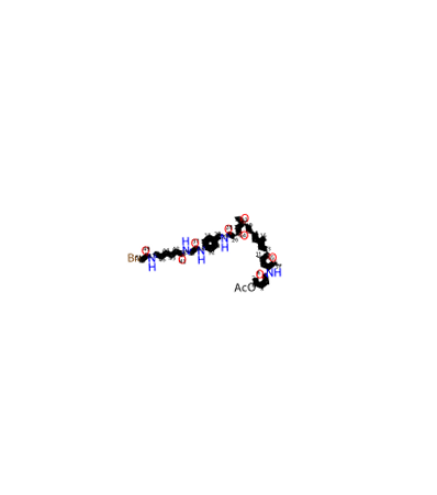 CC(=O)O[C@@H](C)/C=C\C(=O)N[C@@H]1C[C@H](C)[C@H](C/C=C(C)/C=C/[C@@H]2C[C@]3(CO3)C[C@@H](CC(=O)NCc3ccc(NC(=O)CNC(=O)CCCCCNC(=O)CBr)cc3)O2)O[C@@H]1C